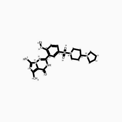 CCCc1nc(C)c2c(=O)[nH]c(-c3cc(S(=O)(=O)N4CCC(N5CCCC5)CC4)ccc3OCC)nn12